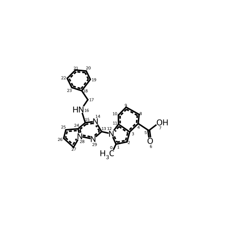 Cc1cc2c(C(=O)O)cccc2n1-c1nc(NCc2ccccc2)c2cccn2n1